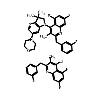 Cc1c(Cc2cccc(F)c2)nc2cc(F)cc(F)c2c1Cl.Cc1c(Cc2cccc(F)c2)nc2cc(F)cc(F)c2c1N1CC(C)(C)c2ncc(N3CCOCC3)cc21